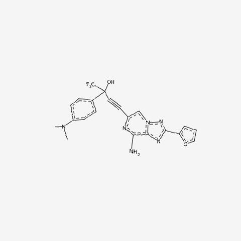 CN(C)c1ccc(C(O)(C#Cc2cn3nc(-c4ccco4)nc3c(N)n2)C(F)(F)F)cc1